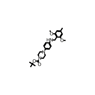 COc1cc(C)cc(OC)c1CNc1ccc(N2CCN(C(=O)OC(C)(C)C)CC2)cc1